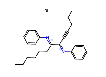 CCCC#CC(=N\c1ccccc1)/C(CCCCCC)=N/c1ccccc1.[Ni]